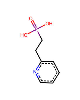 O=P(O)(O)CCc1ccccn1